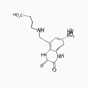 Br.O=C(O)CCNCc1cc([N+](=O)[O-])cc2[nH]c(=O)c(=O)[nH]c12